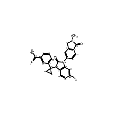 CN1Cc2cc(-n3c(=O)n(C4(c5cccc(C(=O)O)c5)CC4)c4ccc(Cl)cc43)ccc2C1=O